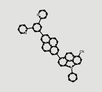 N#Cc1ccc2c3c1ccc1c(-c4cc5ccc6cc(-c7cc(-c8ccccn8)cc(-c8ccccn8)c7)cc7ccc(c4)c5c67)ccc(c13)n2-c1ccccc1